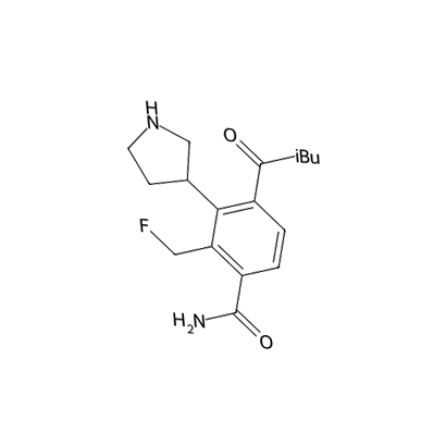 CCC(C)C(=O)c1ccc(C(N)=O)c(CF)c1C1CCNC1